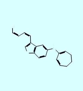 C/C=C\C=C/c1csc2ccc(NC3=CCCCC=C3)cc12